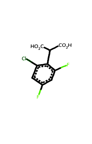 O=C(O)C(C(=O)O)c1c(F)cc(F)cc1Cl